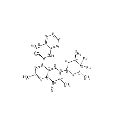 Cc1cc([C@@H](C)Nc2ccccc2C(=O)O)c2nc(N3C[C@@H](C)C(F)(F)[C@H](C)C3)c(C)c(=O)n2c1